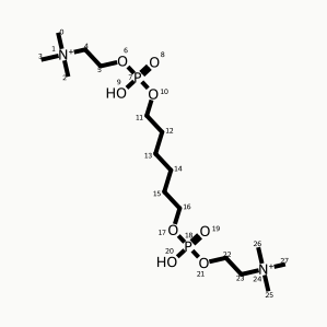 C[N+](C)(C)CCOP(=O)(O)OCCCCCCOP(=O)(O)OCC[N+](C)(C)C